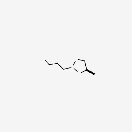 C=C1CON(CCCC(=O)O)O1